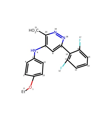 CCOc1ccc(Nc2cc(-c3c(F)cccc3F)nnc2C(=O)O)cc1